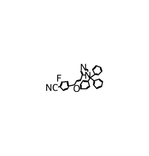 N#Cc1ccc(C(=O)C=Cc2cncn2C(c2ccccc2)(c2ccccc2)c2ccccc2)cc1F